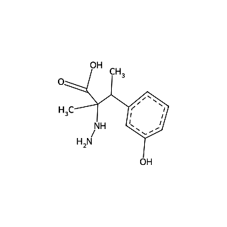 CC(c1cccc(O)c1)C(C)(NN)C(=O)O